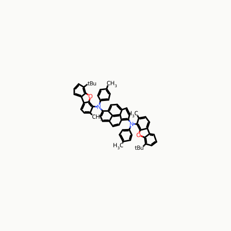 Cc1ccc(N(c2ccc3ccc4c(N(c5ccc(C)cc5)c5c(C)ccc6c5oc5c(C(C)(C)C)cccc56)ccc5ccc2c3c54)c2c(C)ccc3c2oc2c(C(C)(C)C)cccc23)cc1